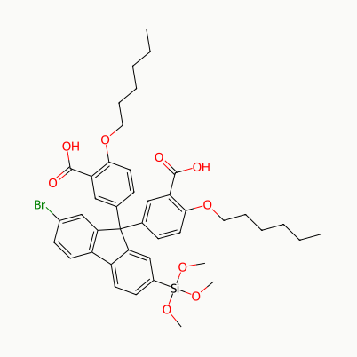 CCCCCCOc1ccc(C2(c3ccc(OCCCCCC)c(C(=O)O)c3)c3cc(Br)ccc3-c3ccc([Si](OC)(OC)OC)cc32)cc1C(=O)O